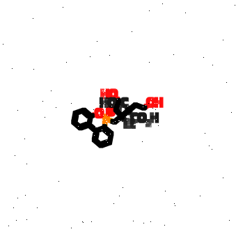 CCC(CCO)(CP1(=O)Oc2ccccc2-c2ccccc21)C(CCO)(C(=O)O)C(=O)O